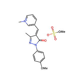 COS(=O)(=O)[O-].COc1ccc(N2N=C(C)/C(=C\c3ccc[n+](C)c3)C2=O)cc1